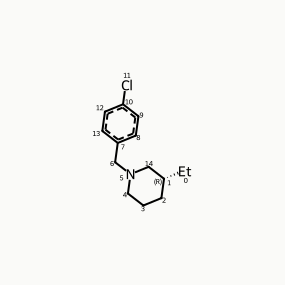 CC[C@@H]1CCCN(Cc2ccc(Cl)cc2)C1